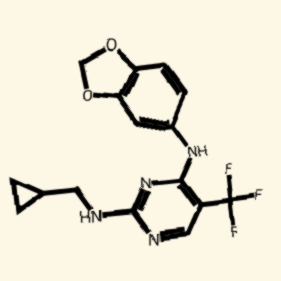 FC(F)(F)c1cnc(NCC2CC2)nc1Nc1ccc2c(c1)OCO2